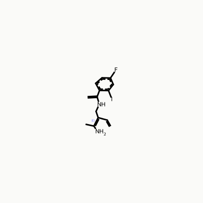 C=C/C(CNC(=C)c1ccc(F)cc1I)=C(/C)N